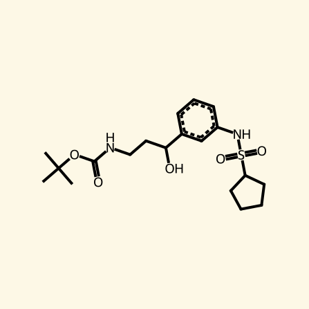 CC(C)(C)OC(=O)NCCC(O)c1cccc(NS(=O)(=O)C2CCCC2)c1